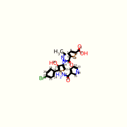 CC=NN(C(=O)c1ccc(C(=O)O)s1)c1csc(-c2ccc(Br)cc2)c1O.NC(=O)c1cccnc1